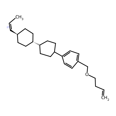 C=CCCOCc1ccc(C2CCC([C@H]3CC[C@H](/C=C\C)CC3)CC2)cc1